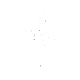 c1ccc(-c2nc(-c3ccc4sc5ccccc5c4c3)nc(-n3c4ccccc4c4ccc5c(c6ccccc6n5-c5ccc6c7ccccc7c7ccccc7c6c5)c43)n2)cc1